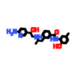 Cc1ccc(O)c(NC(=O)c2cccc(C[C@@H](C)NC[C@@H](O)c3ccc(N)nc3)c2)c1